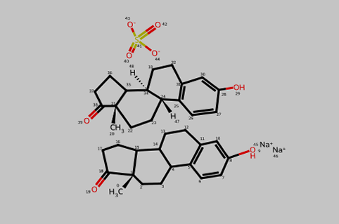 C[C@]12CCC3c4ccc(O)cc4CCC3C1CCC2=O.C[C@]12CC[C@H]3c4ccc(O)cc4CC[C@@H]3C1CCC2=O.O=S(=O)([O-])[O-].[Na+].[Na+]